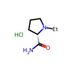 CCN1CCC[C@H]1C(N)=O.Cl